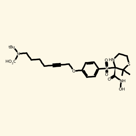 CC(C)(C)N(CCCCC#CCOc1ccc(S(=O)(=O)[C@]2(C(=O)NO)NCCSC2(C)C)cc1)C(=O)O